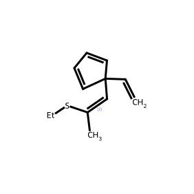 C=CC1(/C=C(/C)SCC)C=CC=C1